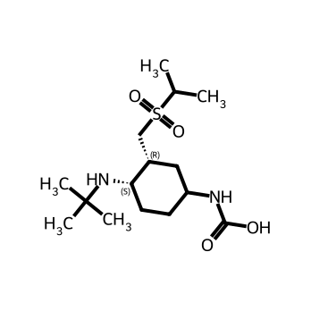 CC(C)S(=O)(=O)C[C@@H]1CC(NC(=O)O)CC[C@@H]1NC(C)(C)C